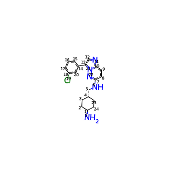 N[C@H]1CC[C@H](CNc2ccc3ncc(-c4cccc(Cl)c4)n3n2)CC1